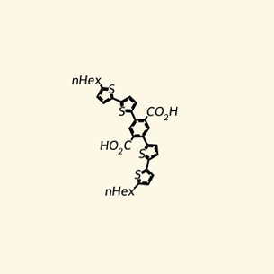 CCCCCCc1ccc(-c2ccc(-c3cc(C(=O)O)c(-c4ccc(-c5ccc(CCCCCC)s5)s4)cc3C(=O)O)s2)s1